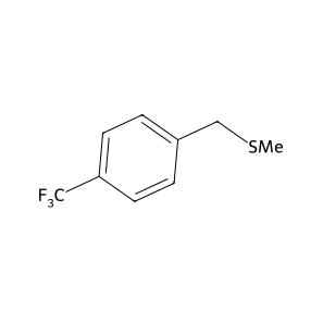 [CH2]SCc1ccc(C(F)(F)F)cc1